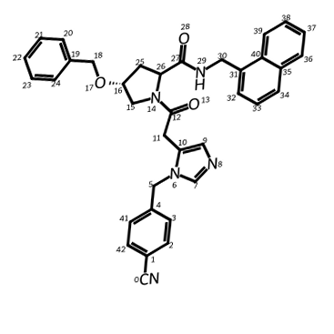 N#Cc1ccc(Cn2cncc2CC(=O)N2C[C@H](OCc3ccccc3)CC2C(=O)NCc2cccc3ccccc23)cc1